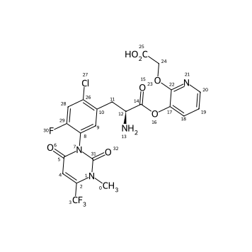 Cn1c(C(F)(F)F)cc(=O)n(-c2cc(C[C@H](N)C(=O)Oc3cccnc3OCC(=O)O)c(Cl)cc2F)c1=O